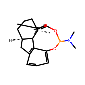 Cc1cccc2c1[C@]13c4c(cccc4OP(N(C)C)O2)C[C@H]1CCC[C@@H]3C